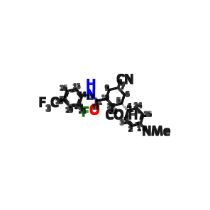 CNc1ccc([C@H]2CC(C#N)CC(C(=O)Nc3ccc(C(F)(F)F)cc3F)C2C(=O)O)cc1